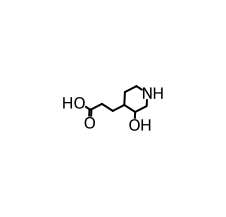 O=C(O)CCC1CCNCC1O